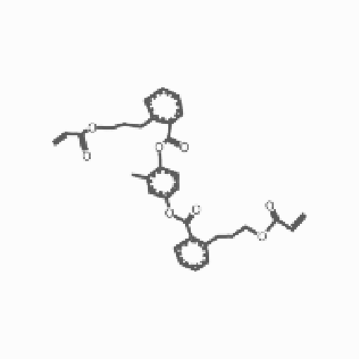 C=CC(=O)OCCCc1ccccc1C(=O)Oc1ccc(OC(=O)c2ccccc2CCCOC(=O)C=C)c(C)c1